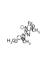 COc1ccc(CNc2ncc3c(n2)N(C2CCCC2)CC(F)(F)C(=O)N3C)c(OC)c1